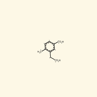 Cc1ccc(C(=O)O)cc1CC(=O)O